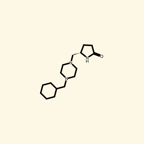 O=C1CC[C@@H](CN2CCN(CC3CCCCC3)CC2)N1